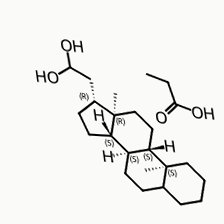 CCC(=O)O.C[C@]12CC[C@H]3[C@@H](CCC4CCCC[C@@]43C)[C@@H]1CC[C@@H]2CC(O)O